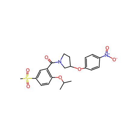 CC(C)Oc1ccc(S(C)(=O)=O)cc1C(=O)N1CCC(Oc2ccc([N+](=O)[O-])cc2)C1